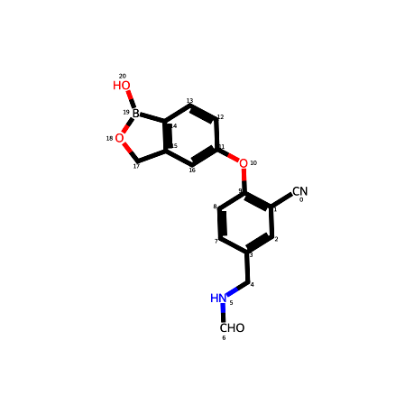 N#Cc1cc(CNC=O)ccc1Oc1ccc2c(c1)COB2O